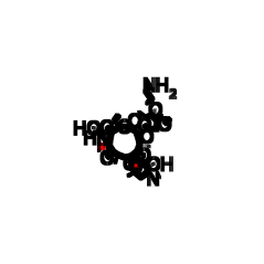 CC[C@H]1OC(=O)[C@H](C)[C@@H](OC2C[C@@](C)(OC)[C@@H](OCCCN)[C@H](C)O2)[C@H](C)[C@@H](O[C@@H]2O[C@H](C)C[C@H](N(C)C)[C@H]2O)[C@](C)(OC)C[C@@H](C)C(=O)[C@H](C)[C@H]2N[C@H](O)O[C@@]21C